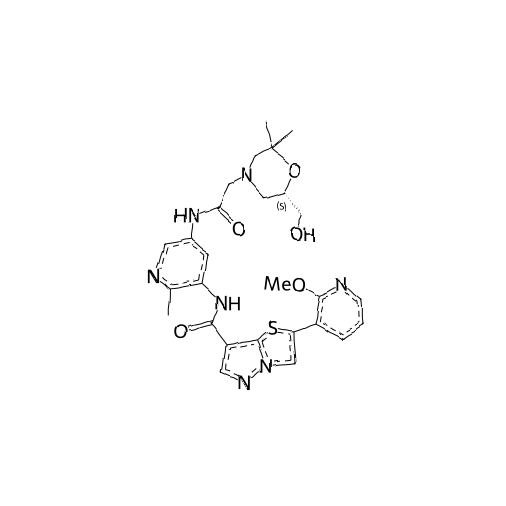 COc1ncccc1-c1cn2ncc(C(=O)Nc3cc(NC(=O)CN4C[C@@H](CO)OC(C)(C)C4)cnc3C)c2s1